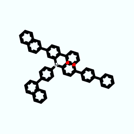 c1ccc(-c2ccc(-c3ccc(N(c4ccc(-c5cccc6ccccc56)cc4)c4cc(-c5ccc6ccccc6c5)ccc4-c4ccccc4)cc3)cc2)cc1